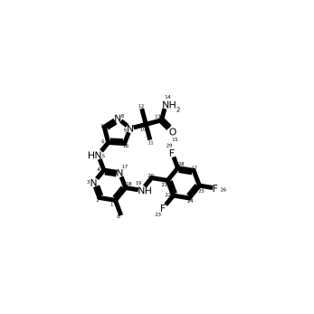 Cc1cnc(Nc2cnn(C(C)(C)C(N)=O)c2)nc1NCc1c(F)cc(F)cc1F